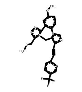 COCc1nnc2n1Cc1c(C#Cc3ccc(C(F)(F)F)cn3)ncn1-c1ccc(OC)cc1-2